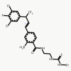 Bc1cc(/C=C/C(c2cc(Cl)c(F)c(Cl)c2)C(F)(F)F)ccc1C(=O)NCCNC(=S)NCC